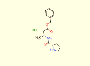 CC(CC(=O)OCc1ccccc1)NC(=O)[C@@H]1CCCN1.Cl